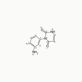 Cc1ccc(-n2c(=O)cc[nH]c2=O)cc1N